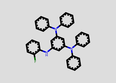 Fc1ccccc1Nc1cc(N(c2ccccc2)c2ccccc2)cc(N(c2ccccc2)c2ccccc2)c1